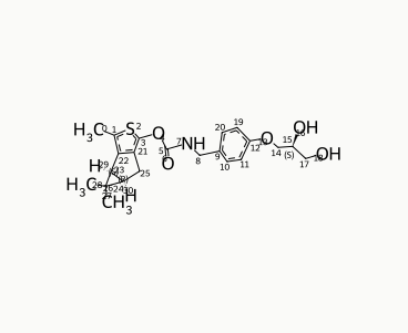 Cc1sc(OC(=O)NCc2ccc(OC[C@@H](O)CO)cc2)c2c1[C@H]1[C@@H](C2)C1(C)C